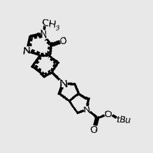 Cn1cnc2ccc(N3CC4CN(C(=O)OC(C)(C)C)CC4C3)cc2c1=O